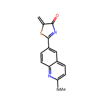 C=C1SC(c2ccc3nc(NC)ccc3c2)=NC1=O